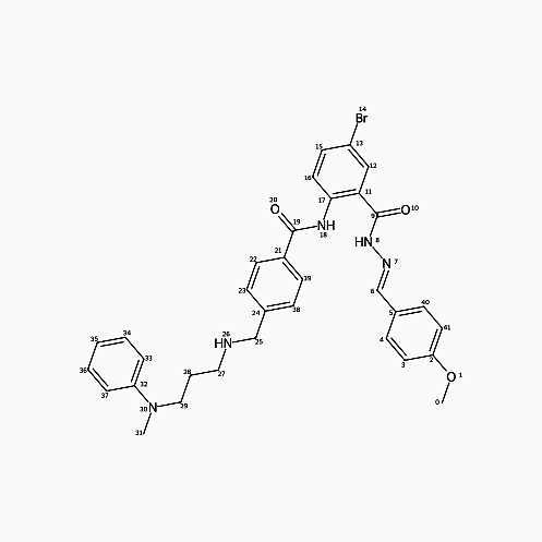 COc1ccc(C=NNC(=O)c2cc(Br)ccc2NC(=O)c2ccc(CNCCCN(C)c3ccccc3)cc2)cc1